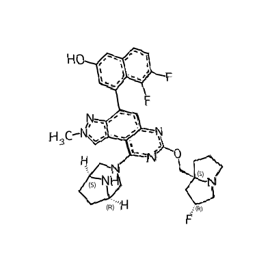 Cn1cc2c(n1)c(-c1cc(O)cc3ccc(F)c(F)c13)cc1nc(OC[C@@]34CCCN3C[C@H](F)C4)nc(N3C[C@H]4CC[C@@H](C3)N4)c12